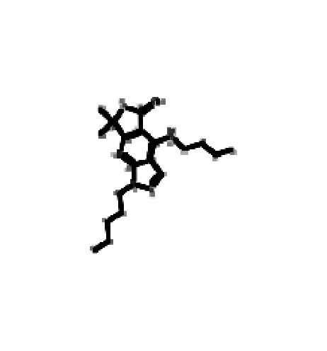 CCCCCn1ncc2c(NCCCC)c3c(nc21)C(C)(C)OC3=O